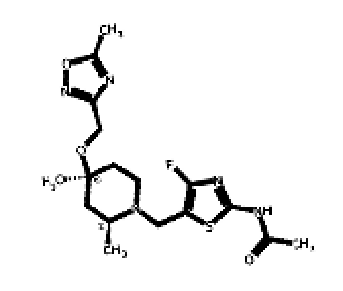 CC(=O)Nc1nc(F)c(CN2CC[C@](C)(OCc3noc(C)n3)C[C@@H]2C)s1